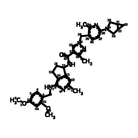 COc1ccc(CNc2nc(C)cc3c2CCC3NC(=O)c2cn(Cc3ccc(N4CC5CC5C4)nc3C)nc2C)c(OC)c1